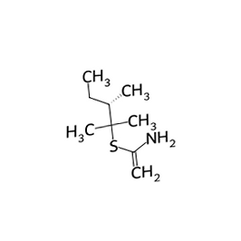 C=C(N)SC(C)(C)[C@@H](C)CC